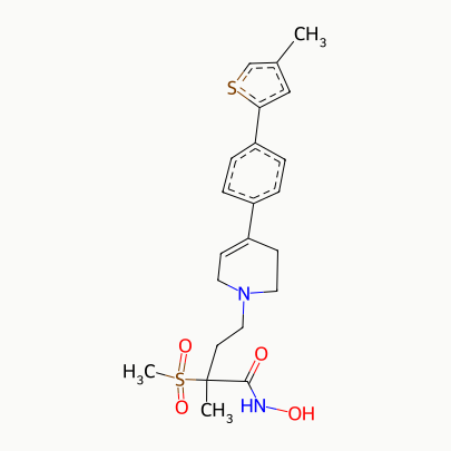 Cc1csc(-c2ccc(C3=CCN(CCC(C)(C(=O)NO)S(C)(=O)=O)CC3)cc2)c1